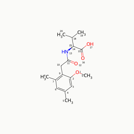 COc1cc(C)cc(C)c1CC(=O)N[C@H](C(=O)O)C(C)C